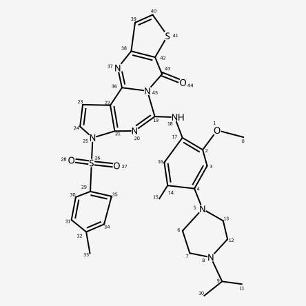 COc1cc(N2CCN(C(C)C)CC2)c(C)cc1Nc1nc2c(ccn2S(=O)(=O)c2ccc(C)cc2)c2nc3ccsc3c(=O)n12